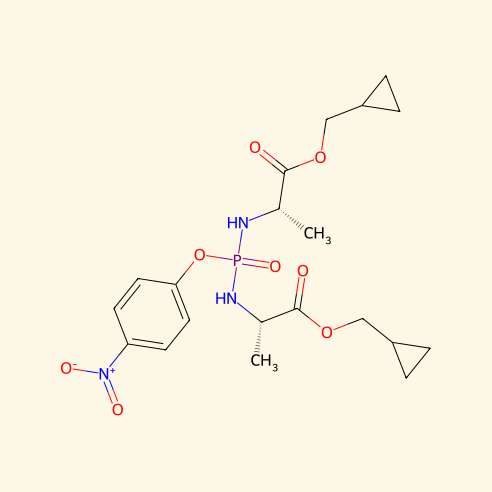 C[C@H](NP(=O)(N[C@@H](C)C(=O)OCC1CC1)Oc1ccc([N+](=O)[O-])cc1)C(=O)OCC1CC1